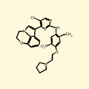 Cc1cc(OCCN2CCCC2)c([N+](=O)[O-])cc1Nc1ncc(Cl)c(-c2cn3c4c(cccc24)OCC3)n1